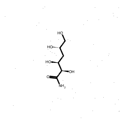 NC(=O)[C@H](O)[C@@H](O)C[C@H](O)CO